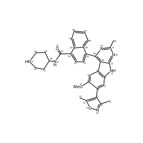 COc1cc2c(cc1-c1c(C)noc1C)[nH]c1nc(C)nc(-c3ccc(C(=O)NC4CCNCC4)c4ccccc34)c12